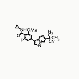 COc1cc(-c2cnn3cc(C(C)(C)C#N)ccc23)cc(F)c1C(=O)NC1CC1